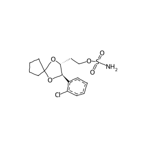 NS(=O)(=O)OCC[C@H]1OC2(CCCC2)O[C@@H]1c1ccccc1Cl